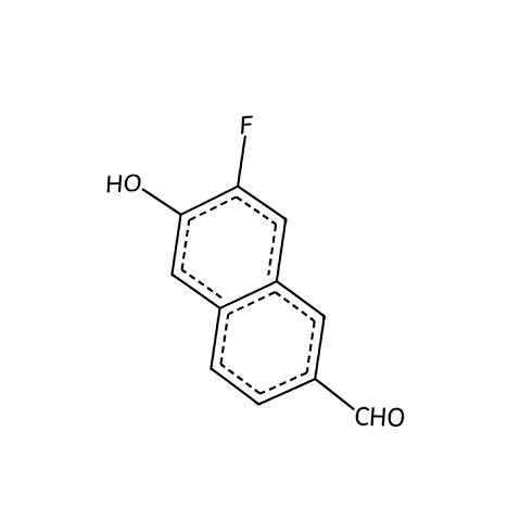 O=Cc1ccc2cc(O)c(F)cc2c1